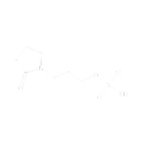 CS(=O)(=O)OCCCN1CCCC1=O